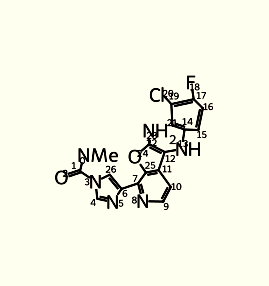 CNC(=O)n1cnc(-c2nccc3c(Nc4ccc(F)c(Cl)c4)c(N)oc23)c1